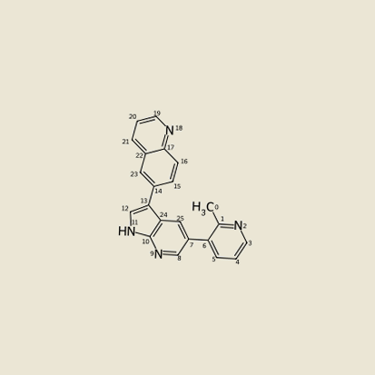 Cc1ncccc1-c1cnc2[nH]cc(-c3ccc4ncccc4c3)c2c1